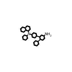 Nc1ccc(-c2ccccc2)c(-c2ccc(N(c3ccccc3)c3cccc4ccccc34)cc2)c1